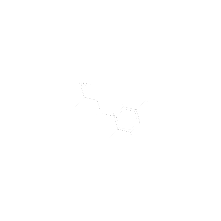 CNC(C)COc1cc(C)ccc1C